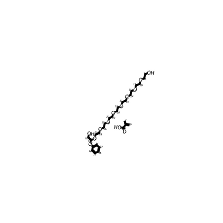 C=C(C)C(=O)O.OCCOCCOCCOCCOCCOCCOCCOCCOC(CO)Oc1ccccc1